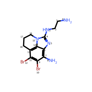 NCCNc1nc2c(N)c(Br)c(Br)c3c2n1CCC3